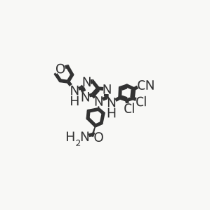 N#Cc1ccc(Nc2nc3cnc(NC4CCOCC4)nc3n2[C@H]2CC[C@H](C(N)=O)CC2)c(Cl)c1Cl